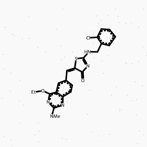 CCOc1nc(NC)nc2ccc(C=C3SC(NCc4ccccc4Cl)=NC3=O)cc12